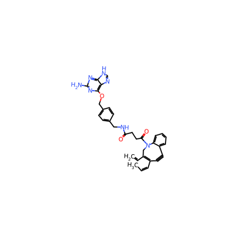 C=C/C1=C(\C=C/C)C#Cc2ccccc2N(C(=O)CCC(=O)NCc2ccc(COc3nc(N)nc4[nH]cnc34)cc2)C1